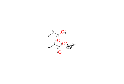 CCC(=O)[O-].CCC(=O)[O-].[Ag+2]